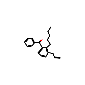 C=CCc1cccc(C(=O)c2ccccc2)c1CCCCC